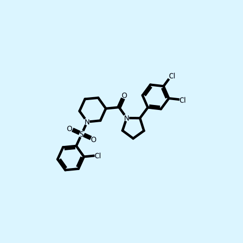 O=C(C1CCCN(S(=O)(=O)c2ccccc2Cl)C1)N1CCCC1c1ccc(Cl)c(Cl)c1